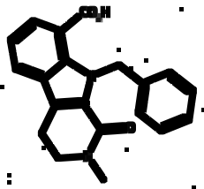 CN1CCc2c(n(Cc3ccccc3)c3c(C(=O)O)cccc23)C1=O